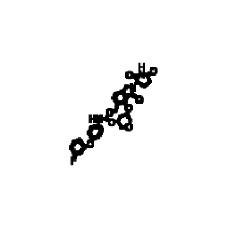 O=C1CCC(N2Cc3ccc(COC(=O)Nc4ccc(Oc5cccc(F)c5)cc4)c(O[C@@H]4CCCOC4)c3C2=O)C(=O)N1